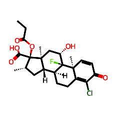 CCC(=O)O[C@]1(C(=O)O)[C@@H](C)C[C@H]2[C@@H]3CCC4=C(Cl)C(=O)C=C[C@]4(C)[C@@]3(F)[C@@H](O)C[C@@]21C